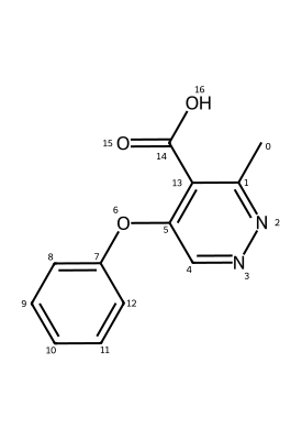 Cc1nncc(Oc2ccccc2)c1C(=O)O